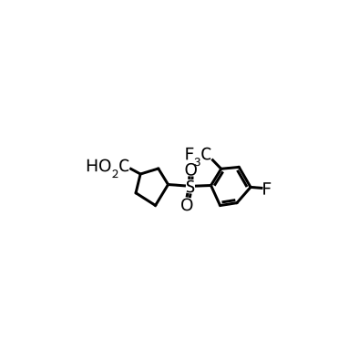 O=C(O)C1CCC(S(=O)(=O)c2ccc(F)cc2C(F)(F)F)C1